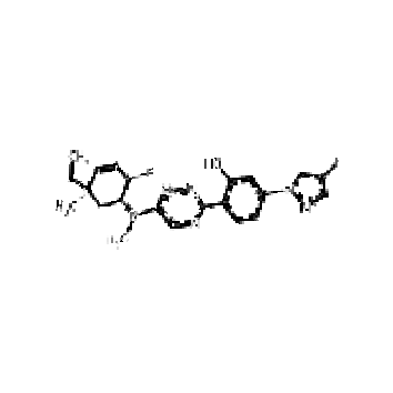 CC[C@@]1(C)C=C[C@@H](F)[C@@H](N(C)c2cnc(-c3ccc(-n4cc(F)cn4)cc3O)nn2)C1